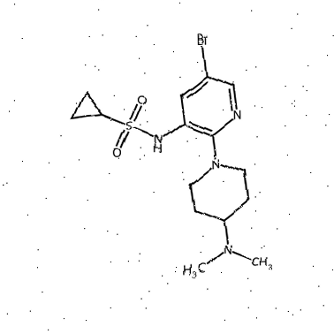 CN(C)C1CCN(c2ncc(Br)cc2NS(=O)(=O)C2CC2)CC1